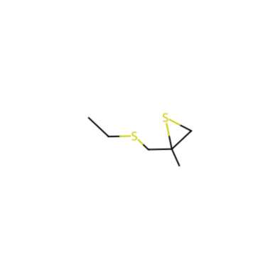 CCSCC1(C)CS1